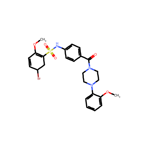 COC1=C(S(=O)(=O)Nc2ccc(C(=O)N3CCN(c4ccccc4OC)CC3)cc2)CC(Br)C=C1